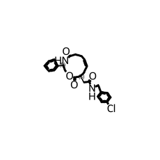 O=C(C[C@@H]1CC=CCCC(=O)N[C@H](c2ccccc2)COC1=O)NCc1ccc(Cl)cc1